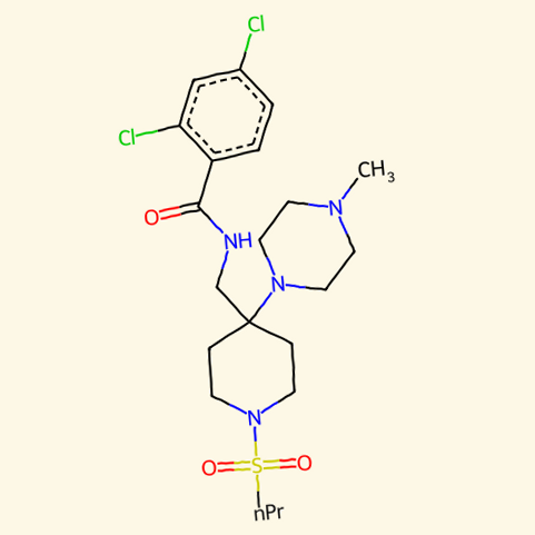 CCCS(=O)(=O)N1CCC(CNC(=O)c2ccc(Cl)cc2Cl)(N2CCN(C)CC2)CC1